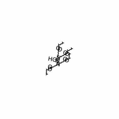 CC(C)=CCCC(C)CCOC(=O)CCCCCCCN(CCCCCCCC(=O)OCCC(C)CCC=C(C)C)CCN(CCO)CCN(CCCCCCCC(=O)OCCC(C)CCC=C(C)C)CCCCCCCC(=O)OCCC(C)CCC=C(C)C